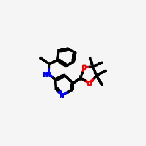 C[C@H](Nc1cncc(B2OC(C)(C)C(C)(C)O2)c1)c1ccccc1